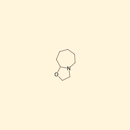 C1CCC2OCCN2CC1